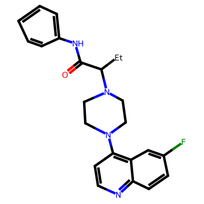 CCC(C(=O)Nc1ccccc1)N1CCN(c2ccnc3ccc(F)cc23)CC1